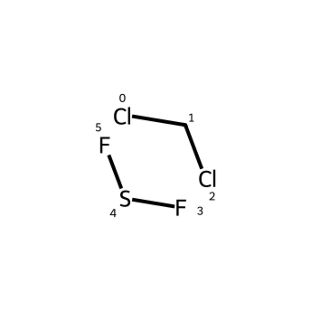 ClCCl.FSF